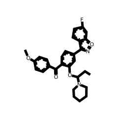 CCC(Oc1cc(-c2noc3cc(F)ccc23)ccc1C(=O)c1ccc(OC)cc1)N1CCCCC1